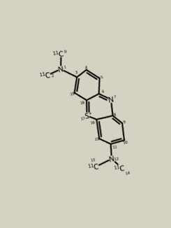 [11CH3]N([11CH3])c1ccc2nc3ccc(N([11CH3])[11CH3])cc3[s+]c2c1